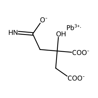 N=C([O-])CC(O)(CC(=O)[O-])C(=O)[O-].[Pb+3]